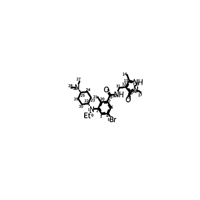 CCN(c1cc(Br)cc(C(=O)NCc2c(C)[nH]n(C)c2=O)c1C)[C@H]1CC[C@H](N(C)C)CC1